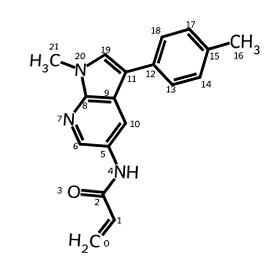 C=CC(=O)Nc1cnc2c(c1)c(-c1ccc(C)cc1)cn2C